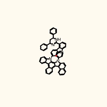 C1=CC(C2CC(c3ccccc3)NC(c3cccc4oc5cc(-n6c7ccccc7c7c8ccccc8c8c9c%10ccccc%10ccc9n(-c9ccccc9)c8c76)ccc5c34)=N2)=CCC1